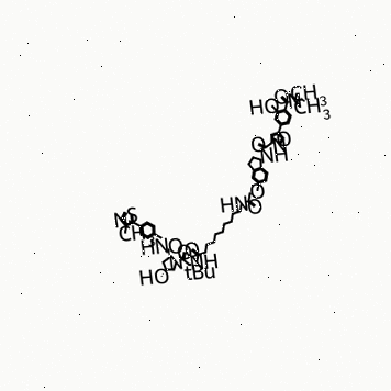 Cc1ncsc1-c1ccc(CNC(=O)[C@@H]2C[C@@H](O)CN2C(=O)C(NC(=O)CCCCCCCCCNC(=O)COc2ccc3c(c2)CC[C@H]3NC(=O)c2cc(-c3ccc(C(=O)N(C)C)c(O)c3)on2)C(C)(C)C)cc1